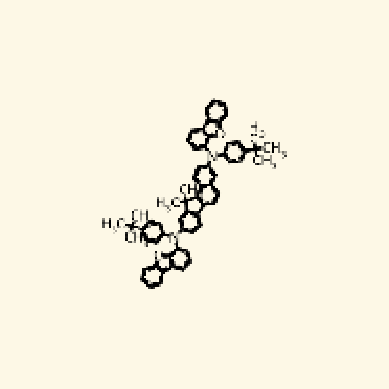 CC(C)(C)c1ccc(N(c2ccc3c(c2)C(C)(C)c2c-3ccc3cc(N(c4ccc(C(C)(C)C)cc4)c4cccc5c4oc4ccccc45)ccc23)c2cccc3c2oc2ccccc23)cc1